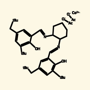 CC(=O)[O-].CC(=O)[O-].CC(C)(C)Cc1cc(C=NC2CCCCC2N=Cc2cc(CC(C)(C)C)cc(C(C)(C)C)c2O)c(O)c(C(C)(C)C)c1.[Co+2]